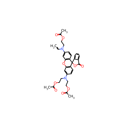 C=CN(CCOC(C)=O)c1ccc2c(c1)Oc1cc(N(CCOC(C)=O)CCOC(C)=O)ccc1C21OC(=O)c2ccccc21